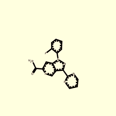 NC(=O)c1cc2c(cn1)c(-c1ncccn1)nn2-c1ccccc1F